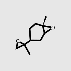 CC1(C2CC[C@]3(C)OC3C2)CO1